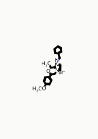 CCc1n(CC(=O)c2ccc(OC)cc2)cc[n+]1/N=C/c1ccccc1.[Br-]